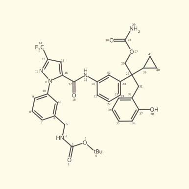 CC(C)(C)OC(=O)NCc1cccc(-n2nc(C(F)(F)F)cc2C(=O)Nc2cccc(C(COC(N)=O)(Cc3ccccc3O)C3CC3)c2)c1